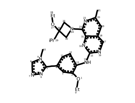 CCOc1cc(-c2nncn2C)ccc1Nc1ncc2cc(C)nc(N3CC(OCC)(C(C)C)C3)c2n1